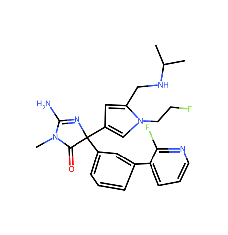 CC(C)NCc1cc(C2(c3cccc(-c4cccnc4F)c3)N=C(N)N(C)C2=O)cn1CCF